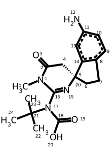 CN1C(=O)C[C@]2(CCc3ccc(N)cc32)N=C1N(C(=O)O)C(C)(C)C